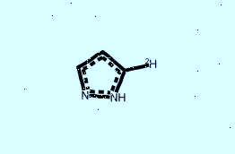 [2H]c1ccn[nH]1